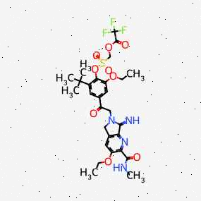 CCOc1cc2c(nc1C(=O)NC)C(=N)N(CC(=O)c1cc(OCC)c(OS(=O)(=O)COC(=O)C(F)(F)F)c(C(C)(C)C)c1)C2